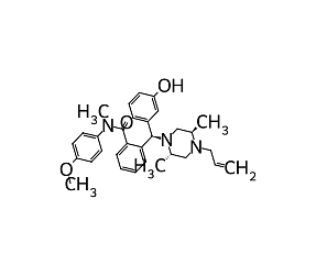 C=CCN1C[C@H](C)N([C@H](c2cccc(O)c2)c2ccccc2C(=O)N(C)c2ccc(OC)cc2)C[C@H]1C